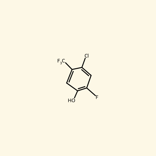 Oc1cc(C(F)(F)F)c(Cl)cc1F